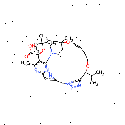 Cc1nc2cc3nn2c(c1[C@H](OC(C)(C)C)C(=O)O)N1CCC(C)(CC1)OC=CCCOC(C(C)C)c1cn(nn1)C3